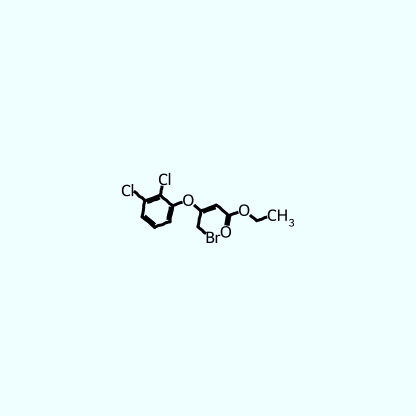 CCOC(=O)/C=C(\CBr)Oc1cccc(Cl)c1Cl